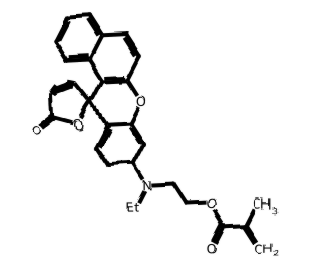 C=C(C)C(=O)OCCN(CC)C1C=C2Oc3ccc4ccccc4c3C3(OC(=O)c4ccccc43)C2=CC1